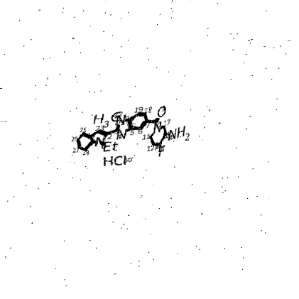 CCn1c(-c2nc3cc(C(=O)N4CC[C@@H](F)[C@@H](N)C4)ccc3n2C)cc2ccccc21.Cl